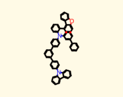 c1ccc(-c2cccc(N(c3ccc(-c4cccc(-c5ccc(-n6c7ccccc7c7ccccc76)cc5)c4)cc3)c3ccccc3-c3cccc4oc5ccccc5c34)c2)cc1